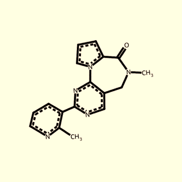 Cc1ncccc1-c1ncc2c(n1)-n1cccc1C(=O)N(C)C2